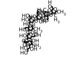 C[C@@H]1OC(CO)[C@@H](O[C@@H]2OC(CO)[C@@H](O[C@@H]3OC(CO)[C@@H](O)[C@H](O[C@H]4O[C@H](CO)[C@@H](O)C(O)C4O[C@@H]4OC(CO)[C@H](O[C@@H]5OC(CO)[C@H](I)C(O[C@]6(C(=O)O)C[C@@H](O)[C@@H](N)C(C(O)C(O)CO)O6)[C@@H]5O)C(O)[C@@H]4C)C3O)C(O)[C@@H]2C)C(O)[C@@H]1C